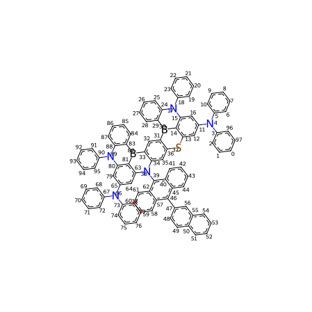 c1ccc(N(c2ccccc2)c2cc3c4c(c2)N(c2ccccc2)c2ccccc2B4c2cc4c(cc2S3)N(c2c3ccccc3c(-c3ccc5ccccc5c3)c3ccccc23)c2cc(N(c3ccccc3)c3ccccc3)cc3c2B4c2ccccc2N3c2ccccc2)cc1